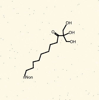 CCCCCCCCCCCCCCCCCC(=O)C(O)(CO)CO